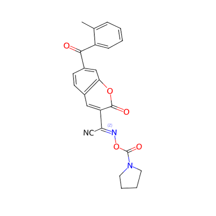 Cc1ccccc1C(=O)c1ccc2cc(/C(C#N)=N/OC(=O)N3CCCC3)c(=O)oc2c1